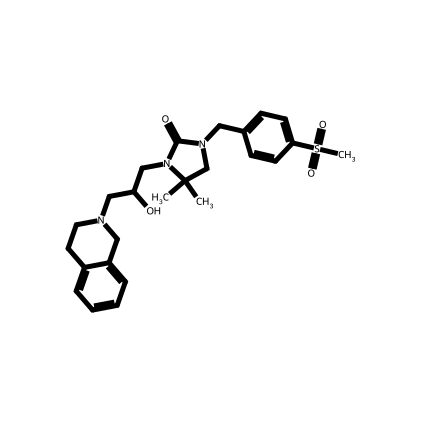 CC1(C)CN(Cc2ccc(S(C)(=O)=O)cc2)C(=O)N1CC(O)CN1CCc2ccccc2C1